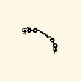 Cc1cc(-c2ccc(CCCCCCCCCc3ccc(-c4ccc(OC(F)(F)F)cc4)cc3)cc2)ccc1OC(F)(F)F